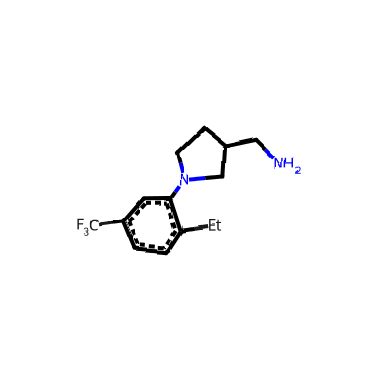 CCc1ccc(C(F)(F)F)cc1N1CCC(CN)C1